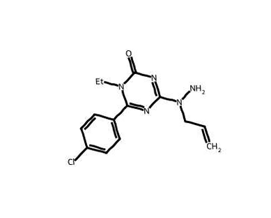 C=CCN(N)c1nc(-c2ccc(Cl)cc2)n(CC)c(=O)n1